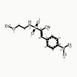 CCOCCNS(=O)(=O)/C(C#N)=C/c1ccc(N(CC)CC)cc1